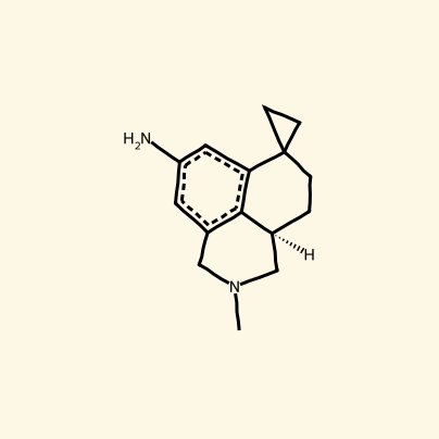 CN1Cc2cc(N)cc3c2[C@@H](CCC32CC2)C1